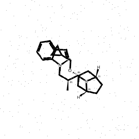 C[C@H](CN1[C@@H]2CC[C@H]1C[C@@H](OCC1CC1)C2)Cn1ncc2ccccc21